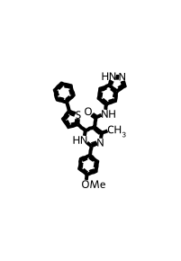 COc1ccc(C2=NC(C)=C(C(=O)Nc3ccc4[nH]ncc4c3)C(c3ccc(-c4ccccc4)s3)N2)cc1